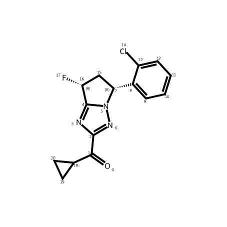 O=C(c1nc2n(n1)[C@@H](c1ccccc1Cl)C[C@H]2F)C1CC1